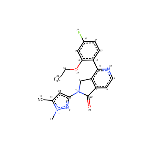 Cn1nc(N2Cc3c(ccnc3-c3ccc(F)cc3OCC(F)(F)F)C2=O)cc1C#N